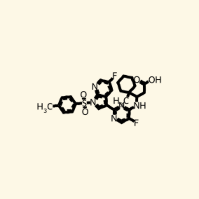 Cc1ccc(S(=O)(=O)n2cc(-c3ncc(F)c(NC(CC(=O)O)C4(C)CCCCC4)n3)c3cc(F)cnc32)cc1